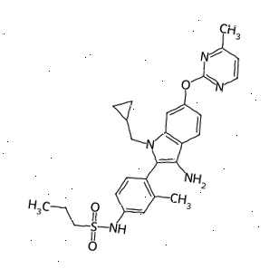 CCCS(=O)(=O)Nc1ccc(-c2c(N)c3ccc(Oc4nccc(C)n4)cc3n2CC2CC2)c(C)c1